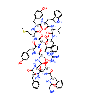 CSCC[C@H](NC(=O)[C@H](Cc1c[nH]c2ccccc12)NC(=O)[C@H](Cc1ccc(O)cc1)NC(=O)[C@H](CO)NC(=O)[C@H](CC(N)=O)NC(=O)[C@H](Cc1ccccc1)NC(=O)[C@@H](NC(=O)[C@H](Cc1ccccc1)NC(=O)CN)[C@@H](C)O)C(=O)N[C@@H](Cc1ccc(O)cc1)C(=O)N[C@@H](Cc1c[nH]c2ccccc12)C(=O)N[C@H](C(=O)N[C@@H](CCCNC(=N)N)C(=O)O)C(C)C